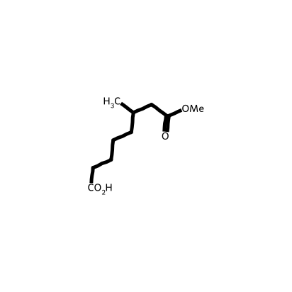 COC(=O)CC(C)CCCCC(=O)O